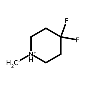 [CH2-][NH+]1CCC(F)(F)CC1